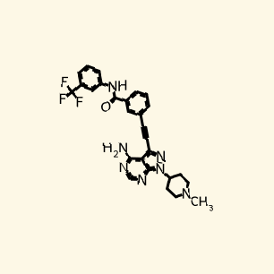 CN1CCC(n2nc(C#Cc3cccc(C(=O)Nc4cccc(C(F)(F)F)c4)c3)c3c(N)ncnc32)CC1